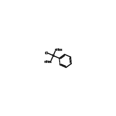 CCCCCC[Si](Cl)(CCCCCC)c1ccccc1